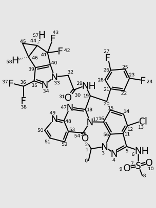 CC(C)n1nc(NS(C)(=O)=O)c2c(Cl)ccc(-n3c(C(Cc4cc(F)cc(F)c4)NC(=O)Cn4nc(C(F)F)c5c4C(F)(F)[C@@H]4C[C@H]54)nc4ncccc4c3=O)c21